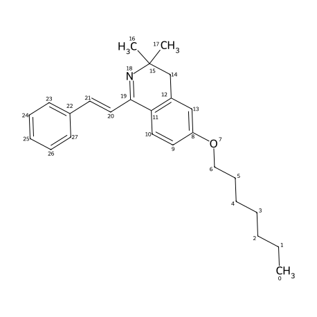 CCCCCCCOc1ccc2c(c1)CC(C)(C)N=C2C=Cc1ccccc1